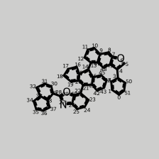 c1ccc(-c2coc3cc4cccc(-c5c6ccccc6c(-c6cccc7nc(-c8cccc9ccccc89)oc67)c6ccccc56)c4cc23)cc1